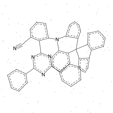 N#Cc1cccc(N2c3ccccc3C3(c4ccccc4-c4ccccc43)c3ccccc32)c1-c1nc(-c2ccccc2)nc(-c2ccccc2)n1